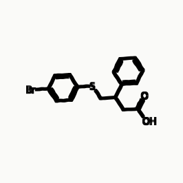 O=C(O)CC(CSc1ccc(Br)cc1)c1ccccc1